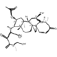 C=C(C(=O)C(O)[C@@H](C)[C@H]1[C@@H](OC(C)=O)C[C@@]2(C)[C@@H]3C[C@@H](O)[C@H]4[C@H](C)C(=O)C=C[C@@]45C[C@@]35CC[C@]12C)[C@@H](C)CO